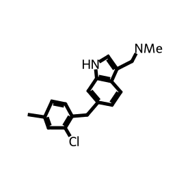 CNCc1c[nH]c2cc(Cc3ccc(C)cc3Cl)ccc12